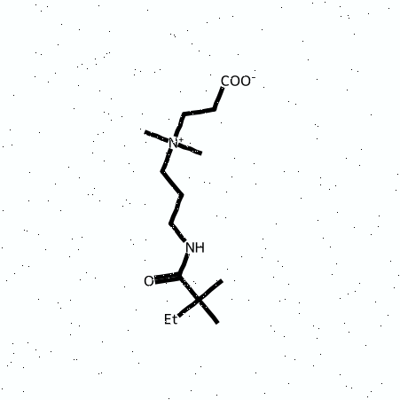 CCC(C)(C)C(=O)NCCC[N+](C)(C)CCC(=O)[O-]